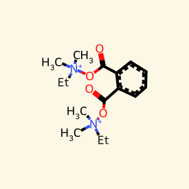 CC[N+](C)(C)OC(=O)c1ccccc1C(=O)O[N+](C)(C)CC